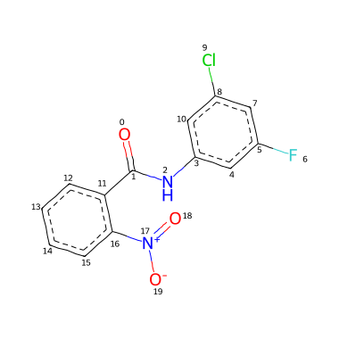 O=C(Nc1cc(F)cc(Cl)c1)c1ccccc1[N+](=O)[O-]